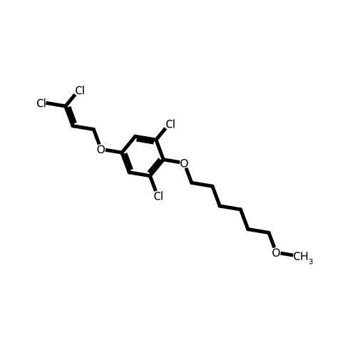 COCCCCCCOc1c(Cl)cc(OCC=C(Cl)Cl)cc1Cl